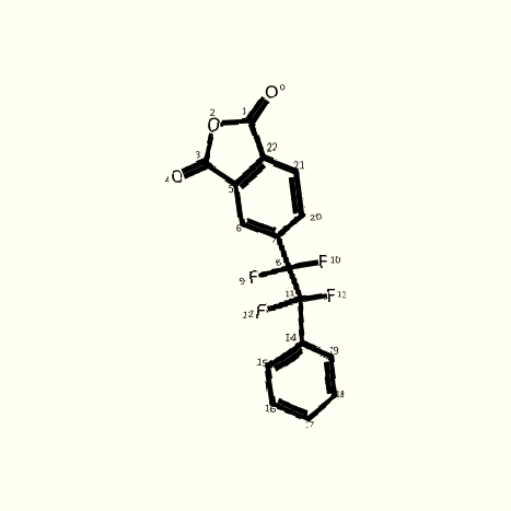 O=C1OC(=O)c2cc(C(F)(F)C(F)(F)c3ccccc3)ccc21